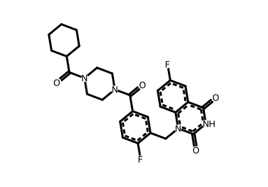 O=C(c1ccc(F)c(Cn2c(=O)[nH]c(=O)c3cc(F)ccc32)c1)N1CCN(C(=O)C2CCCCC2)CC1